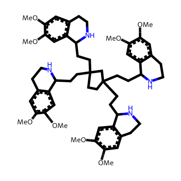 COc1cc2c(cc1OC)C(CCC1(CCC3NCCc4cc(OC)c(OC)cc43)CCC(CCC3NCCc4cc(OC)c(OC)cc43)(CCC3NCCc4cc(OC)c(OC)cc43)C1)NCC2